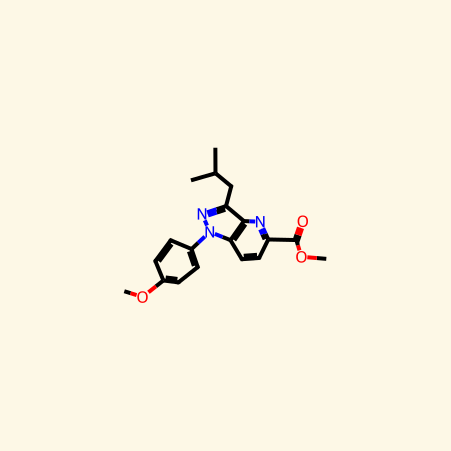 COC(=O)c1ccc2c(n1)c(CC(C)C)nn2-c1ccc(OC)cc1